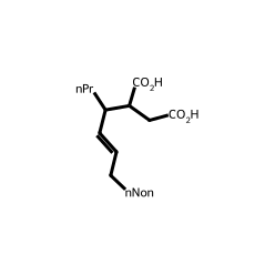 CCCCCCCCCCC=CC(CCC)C(CC(=O)O)C(=O)O